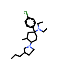 CCCC1CCN(C2CCC(c3ccc(Cl)cc3)(N(CC)CC)CC2C)C1